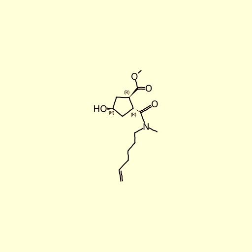 C=CCCCCN(C)C(=O)[C@@H]1C[C@@H](O)C[C@H]1C(=O)OC